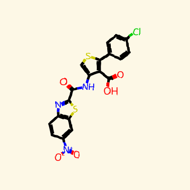 O=C(Nc1csc(-c2ccc(Cl)cc2)c1C(=O)O)c1nc2ccc([N+](=O)[O-])cc2s1